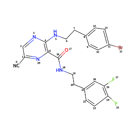 N#Cc1cnc(NCCc2ccc(Br)cc2)c(C(=O)NCCc2ccc(F)c(F)c2)n1